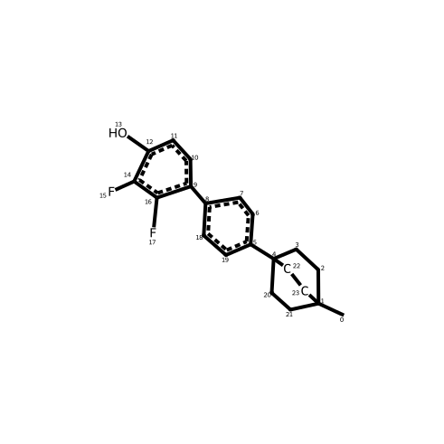 CC12CCC(c3ccc(-c4ccc(O)c(F)c4F)cc3)(CC1)CC2